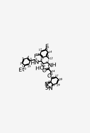 CCc1cccc(CNC[C@@H](O)[C@H](Cc2cc(F)cc(F)c2)NC(=O)COc2cccc3nsnc23)c1